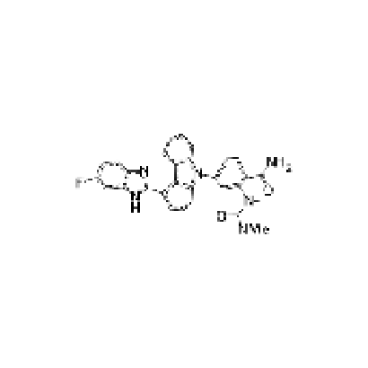 CNC(=O)N(C)c1cc(-n2c3ccccc3c3c(-c4nc5ccc(F)cc5[nH]4)cccc32)ccc1C(N)=O